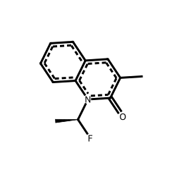 Cc1cc2ccccc2n([C@H](C)F)c1=O